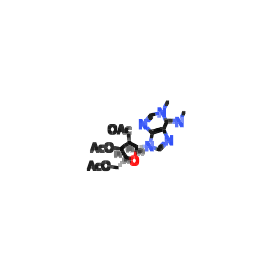 CN=c1c2ncn([C@@H]3O[C@H](COC(C)=O)[C@@H](OC(C)=O)[C@H]3OC(C)=O)c2ncn1C